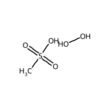 CS(=O)(=O)O.OO